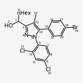 CCCCCCC(O)c1nn(-c2ccc(Cl)cc2Cl)c(-c2ccc(Br)cc2)c1C